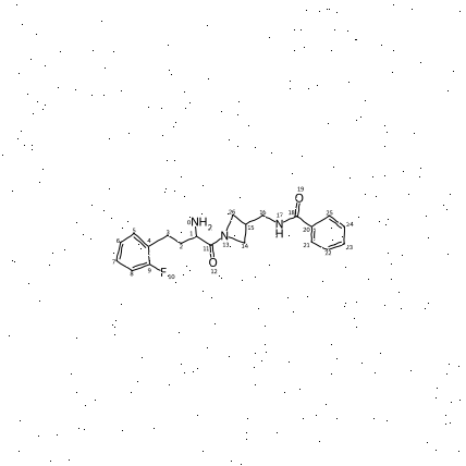 NC(CCc1ccccc1F)C(=O)N1CC(CNC(=O)c2ccccc2)C1